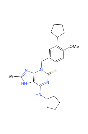 COc1ccc(Cn2c(=S)nc(NC3CCCC3)c3[nH]c(C(C)C)nc32)cc1C1CCCC1